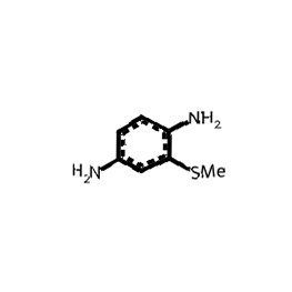 CSc1cc(N)ccc1N